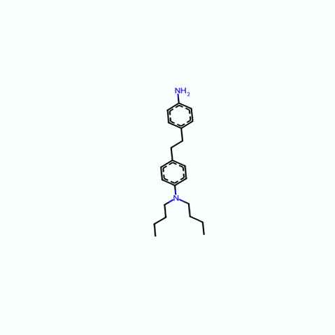 CCCCN(CCCC)c1ccc(CCc2ccc(N)cc2)cc1